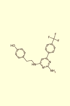 Nc1nc(NCCc2ccc(O)cc2)cc(-c2ccc(C(F)(F)F)cc2)n1